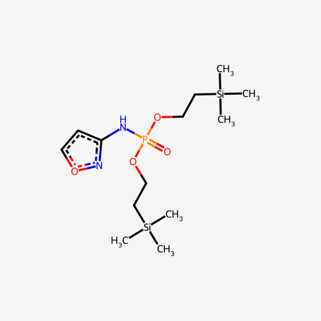 C[Si](C)(C)CCOP(=O)(Nc1ccon1)OCC[Si](C)(C)C